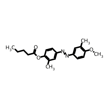 CCCCC(=O)Oc1ccc(N=Nc2ccc(OC)c(C)c2)cc1C